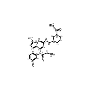 CC(C)c1cnc2c(N(C(=O)OC(C)(C)C)c3cccc(F)c3)cc(OCC3CCCN(C(=O)OC(C)(C)C)C3)nn12